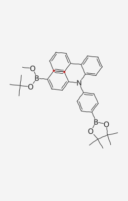 COB(OC(C)(C)C)c1ccc(N(c2ccc(B3OC(C)(C)C(C)(C)O3)cc2)c2ccccc2-c2ccccc2)cc1